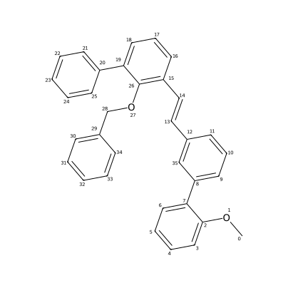 COc1ccccc1-c1cccc(C=Cc2cccc(-c3ccccc3)c2OCc2ccccc2)c1